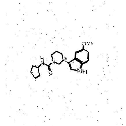 COc1ccc2[nH]cc([C@@H]3CCCN(C(=O)NC4CCCC4)C3)c2c1